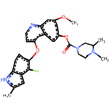 COc1cc2nccc(Oc3ccc4[nH]c(C)cc4c3F)c2cc1OC(=O)N1CCN(C)C(C)C1